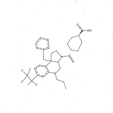 CCCN1CC2N(C(=O)[C@H]3CC[C@H](C(=O)O)CC3)CCC2(Cc2ccccc2)c2ccc(C(C)(F)C(F)(F)F)cc21